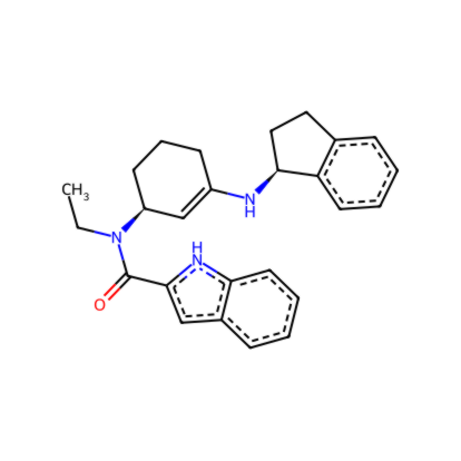 CCN(C(=O)c1cc2ccccc2[nH]1)[C@@H]1C=C(N[C@H]2CCc3ccccc32)CCC1